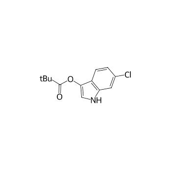 CC(C)(C)C(=O)Oc1c[nH]c2cc(Cl)ccc12